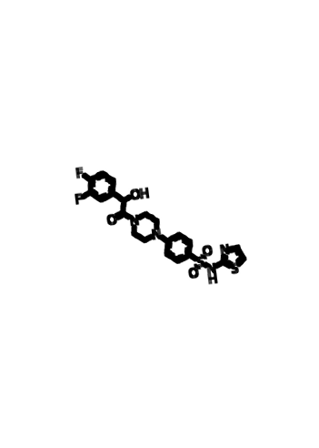 O=C(C(O)c1ccc(F)c(F)c1)N1CCN(c2ccc(S(=O)(=O)Nc3nccs3)cc2)CC1